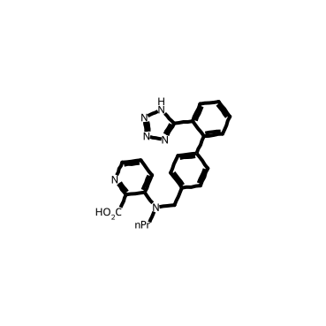 CCCN(Cc1ccc(-c2ccccc2-c2nnn[nH]2)cc1)c1cccnc1C(=O)O